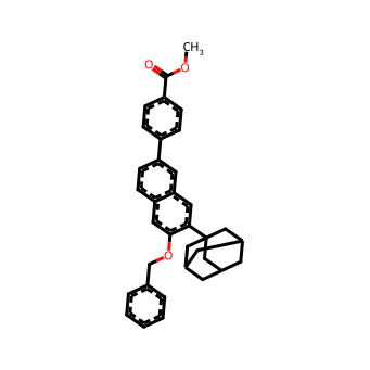 COC(=O)c1ccc(-c2ccc3cc(OCc4ccccc4)c(C45CC6CC(CC(C6)C4)C5)cc3c2)cc1